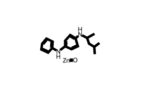 CC(C)CC(C)Nc1ccc(Nc2ccccc2)cc1.[O]=[Zn]